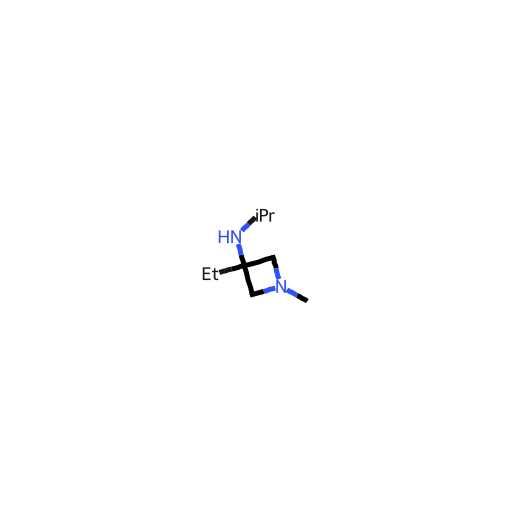 CCC1(NC(C)C)CN(C)C1